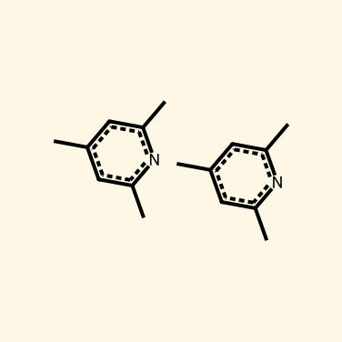 Cc1cc(C)nc(C)c1.Cc1cc(C)nc(C)c1